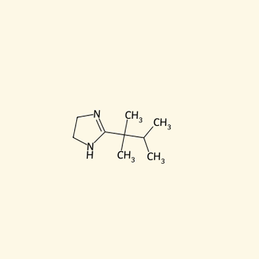 CC(C)C(C)(C)C1=NCCN1